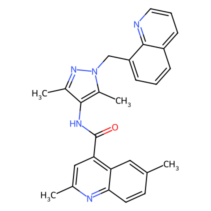 Cc1ccc2nc(C)cc(C(=O)Nc3c(C)nn(Cc4cccc5cccnc45)c3C)c2c1